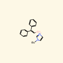 BC=C(c1ccccc1)c1ccccc1.CCC(C)n1ccnc1